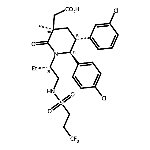 CC[C@@H](CNS(=O)(=O)CCC(F)(F)F)N1C(=O)[C@@](C)(CC(=O)O)C[C@H](c2cccc(Cl)c2)[C@H]1c1ccc(Cl)cc1